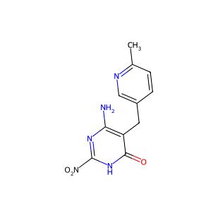 Cc1ccc(Cc2c(N)nc([N+](=O)[O-])[nH]c2=O)cn1